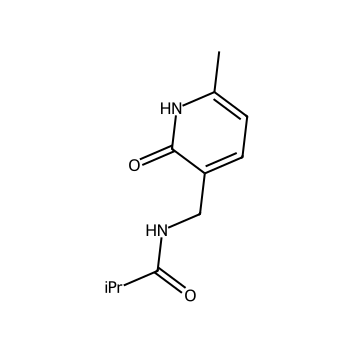 Cc1ccc(CNC(=O)C(C)C)c(=O)[nH]1